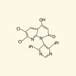 CC(C)c1ncnc(C(C)C)c1-n1c(=O)cc(O)c2cc(Cl)c(Cl)nc21